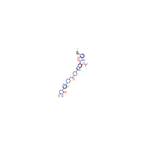 CC(C)Oc1cc2nc(C3CCN(C(=O)CC4CCN(c5ncc(C6CCC(=O)NC6=O)cc5F)CC4)CC3)cn2cc1C(=O)Nc1cccn([C@H]2C[C@H]2F)c1=O